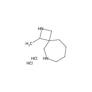 CC1NCC12CCCCNC2.Cl.Cl